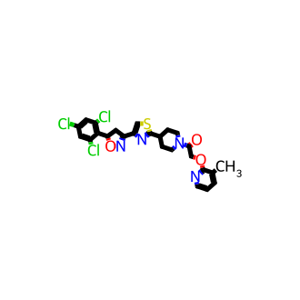 Cc1cccnc1OCC(=O)N1CCC(c2nc(C3=NOC(c4c(Cl)cc(Cl)cc4Cl)C3)cs2)CC1